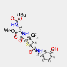 COC(=O)C(CNC(=O)OC(C)(C)C)NC(=O)c1sc(C(=O)NCc2cccc(O)c2)cc1C(F)(F)F